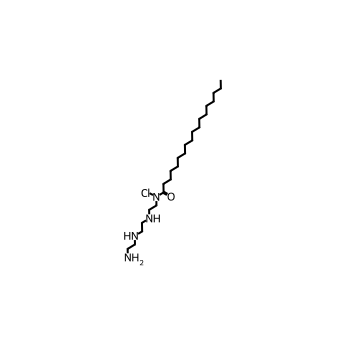 CCCCCCCCCCCCCCCCCC(=O)N(Cl)CCNCCNCCN